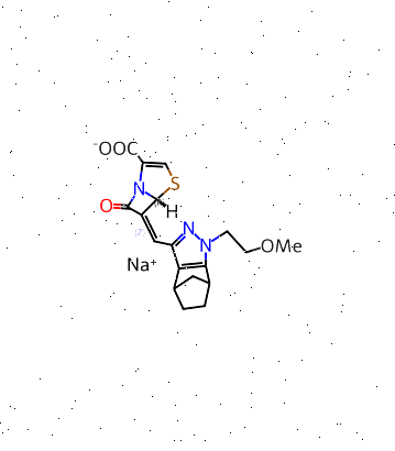 COCCn1nc(/C=C2/C(=O)N3C(C(=O)[O-])=CS[C@H]23)c2c1C1CCC2C1.[Na+]